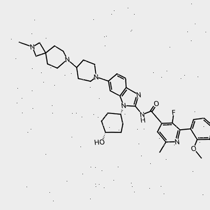 COc1ccccc1-c1nc(C)cc(C(=O)Nc2nc3ccc(N4CCC(N5CCC6(CC5)CN(C)C6)CC4)cc3n2[C@H]2CC[C@@H](O)CC2)c1F